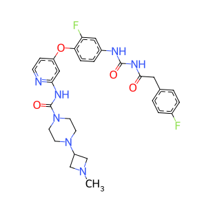 CN1CC(N2CCN(C(=O)Nc3cc(Oc4ccc(NC(=O)NC(=O)Cc5ccc(F)cc5)cc4F)ccn3)CC2)C1